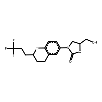 O=C1OC(CO)CN1c1ccc2c(c1)CCC(CCC(F)(F)F)O2